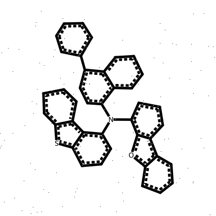 c1ccc(-c2ccc(N(c3cccc4c3oc3ccccc34)c3cccc4sc5ccccc5c34)c3ccccc23)cc1